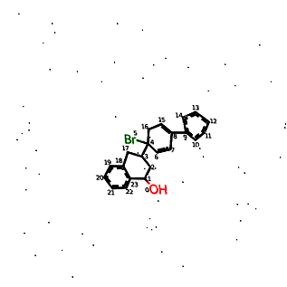 OC1CC(C2(Br)C=CC(c3ccccc3)=CC2)Cc2ccccc21